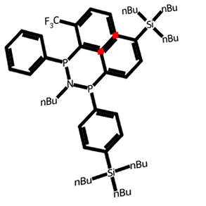 CCCCN(P(c1ccc([Si](CCCC)(CCCC)CCCC)cc1)c1ccc([Si](CCCC)(CCCC)CCCC)cc1)P(c1ccccc1)c1ccccc1C(F)(F)F